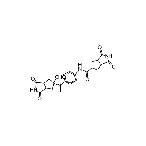 O=CC1(Nc2ccc(NC(=O)C3CC4C(=O)NC(=O)C4C3)cc2)CC2C(=O)NC(=O)C2C1